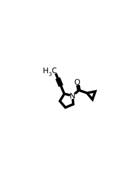 CC#CC1CCCN1C(=O)C1CC1